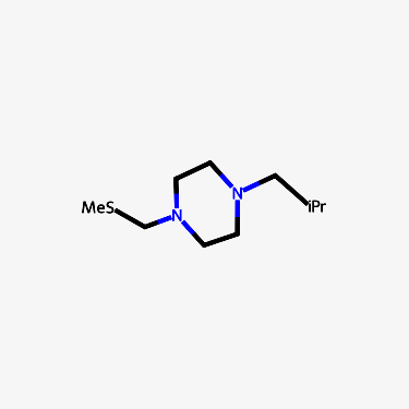 CSCN1CCN(CC(C)C)CC1